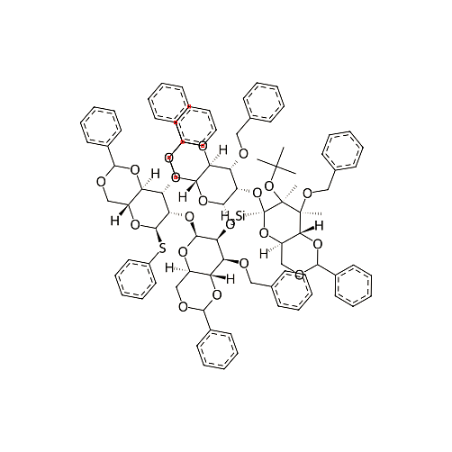 CC(C)(C)O[C@]1(C)[C@]([SiH3])(O[C@@H]2[C@H](O[C@@H]3[C@H](O[C@H]4[C@@H](OCc5ccccc5)[C@@H]5OC(c6ccccc6)OC[C@H]5O[C@@H]4Sc4ccccc4)O[C@@H]4COC(c5ccccc5)O[C@H]4[C@@H]3OCc3ccccc3)O[C@@H]3COC(c4ccccc4)O[C@H]3[C@@H]2OCc2ccccc2)O[C@@H]2COC(c3ccccc3)O[C@H]2[C@]1(C)OCc1ccccc1